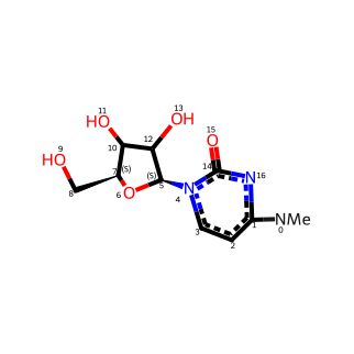 CNc1ccn([C@H]2O[C@@H](CO)C(O)C2O)c(=O)n1